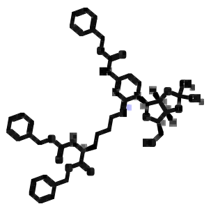 CC1(C)O[C@@H]2[C@H](O1)[C@@H](CO)O[C@H]2n1ccc(NC(=O)OCc2ccccc2)n/c1=N\CCCC[C@H](NC(=O)OCc1ccccc1)C(=O)OCc1ccccc1